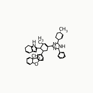 CC1C=C(C2N3C(c4ccccc4)NC(C4C=C[C@@H](C)CC4)N23)CC(c2ccc3c(c2)C2(C)C=CC=CC2O3)C1c1cc2c([nH]1)CCC=C2